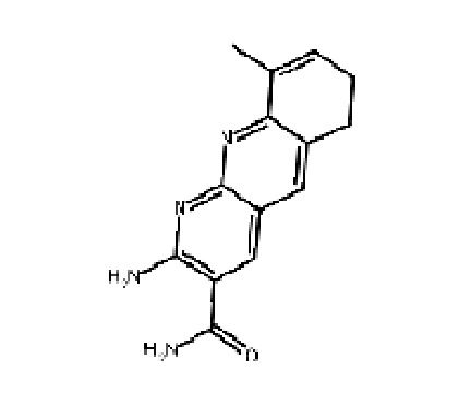 CC1=CCCc2cc3cc(C(N)=O)c(N)nc3nc21